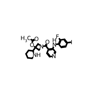 CC(=O)OC1(C2CCCCN2)CN(C(=O)c2ccncc2Nc2ccc(I)cc2F)C1